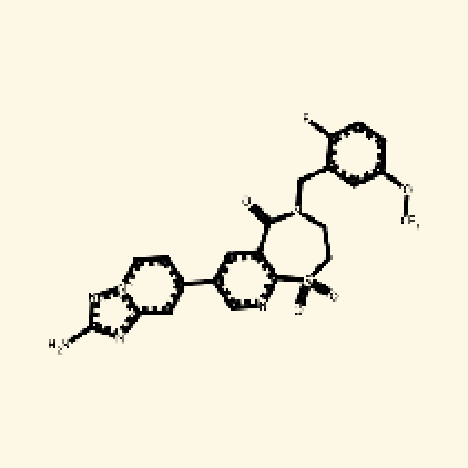 Nc1nc2cc(-c3cnc4c(c3)C(=O)N(Cc3cc(OC(F)(F)F)ccc3F)CCS4(=O)=O)ccn2n1